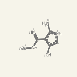 CCCCNC(=N)c1c(C#N)c[nH]c1N